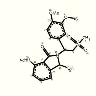 CCOc1cc(C(CS(C)(=O)=O)N2C(=O)c3c(NC(C)=O)cccc3C2O)ccc1OC